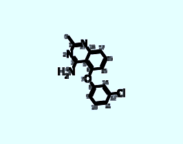 Cc1nc(N)c2c(Oc3cccc(Cl)c3)cccc2n1